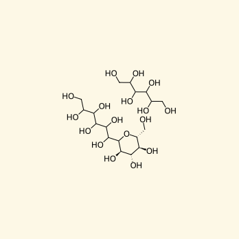 OCC(O)C(O)C(O)C(O)C(O)C1O[C@H](CO)[C@@H](O)[C@H](O)[C@H]1O.OCC(O)C(O)C(O)C(O)CO